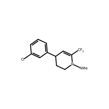 CNN1CCC(c2cccc(Cl)c2)C=C1C(F)(F)F